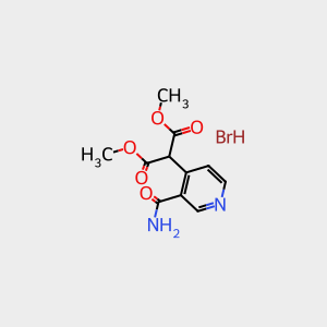 Br.COC(=O)C(C(=O)OC)c1ccncc1C(N)=O